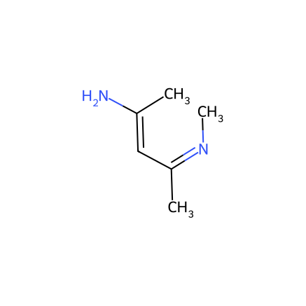 C/N=C(C)\C=C(/C)N